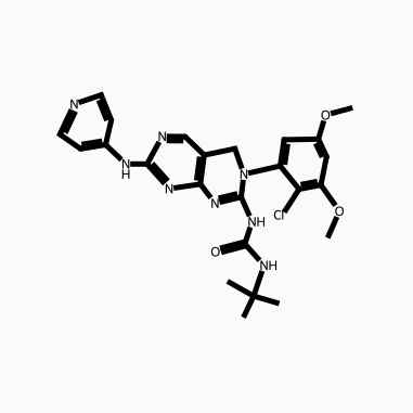 COc1cc(OC)c(Cl)c(N2Cc3cnc(Nc4ccncc4)nc3N=C2NC(=O)NC(C)(C)C)c1